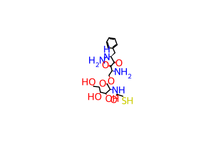 NN[C@@H](Cc1ccccc1)C(=O)C(=O)[C@@H](N)COC1OC(CO)[C@@H](O)[C@H](O)[C@@H]1NC(=O)CS